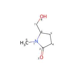 CN1C(=O)CCC1CO